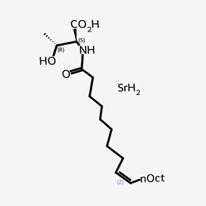 CCCCCCCC/C=C\CCCCCCCC(=O)N[C@H](C(=O)O)[C@@H](C)O.[SrH2]